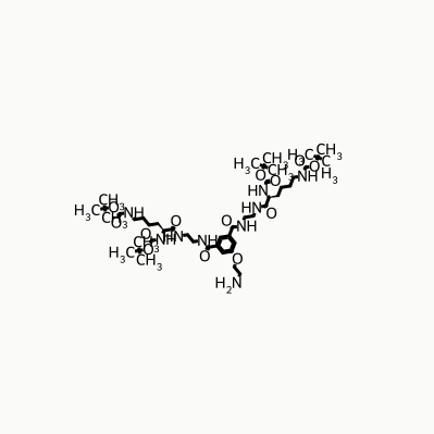 CC(C)(C)OC(=O)NCCCC[C@H](NC(=O)OC(C)(C)C)C(=O)NCCNC(=O)c1cc(OCCN)cc(C(=O)NCCNC(=O)[C@H](CCCCNC(=O)OC(C)(C)C)NC(=O)OC(C)(C)C)c1